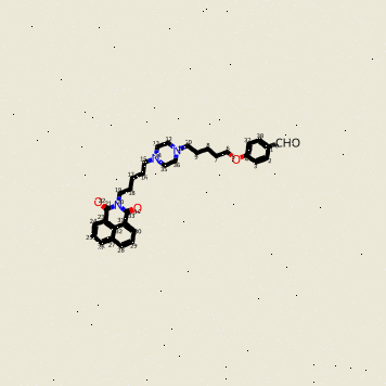 O=Cc1ccc(OCCCCCN2CCN(CCCCCN3C(=O)c4cccc5cccc(c45)C3=O)CC2)cc1